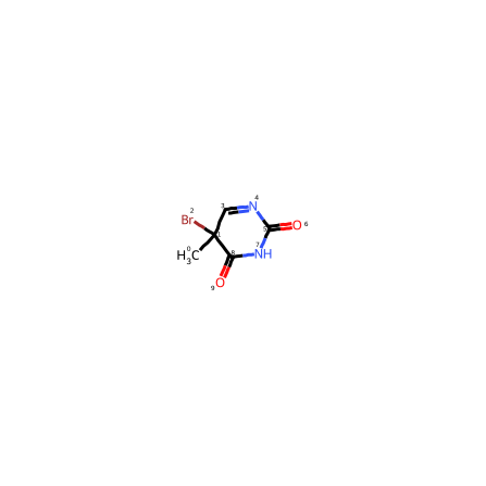 CC1(Br)C=NC(=O)NC1=O